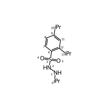 CC(C)NNS(=O)(=O)c1ccc(C(C)C)cc1C(C)C